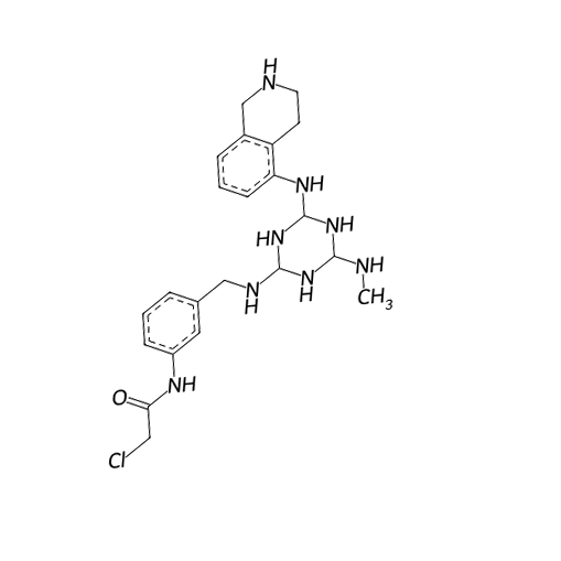 CNC1NC(NCc2cccc(NC(=O)CCl)c2)NC(Nc2cccc3c2CCNC3)N1